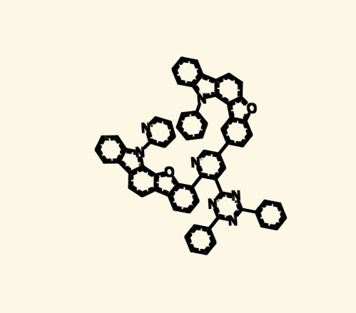 c1ccc(-c2nc(-c3ccccc3)nc(-c3cc(-c4ccc5oc6ccc7c8ccccc8n(-c8ccccc8)c7c6c5c4)cnc3-c3cccc4c3oc3c4ccc4c5ccccc5n(-c5ccccn5)c43)n2)cc1